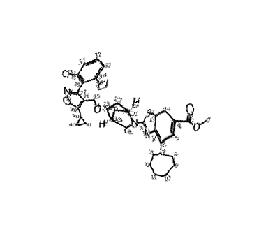 COC(=O)c1cc(C2CCCCCC2)c2nc(N3C[C@@H]4C[C@H]3C[C@H]4OCc3c(-c4c(Cl)cccc4Cl)noc3C3CC3)sc2c1